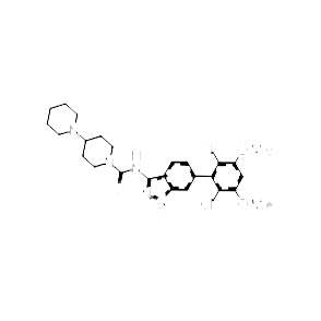 COc1cc(OC)c(Cl)c(-c2ccc3c(NC(=O)N4CCC(N5CCCCC5)CC4)n[nH]c3c2)c1Cl